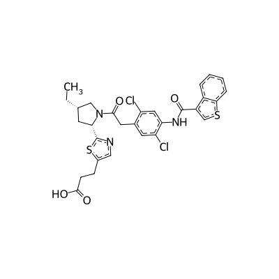 CC[C@H]1C[C@@H](c2ncc(CCC(=O)O)s2)N(C(=O)Cc2cc(Cl)c(NC(=O)c3csc4ccccc34)cc2Cl)C1